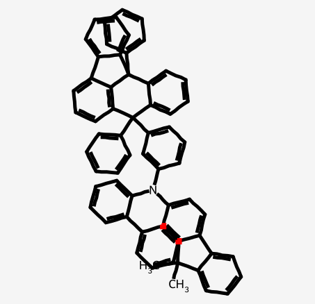 CC1(C)c2ccccc2-c2ccc(N(c3cccc(C4(c5ccccc5)c5ccccc5C5(c6ccccc6)c6ccccc6-c6cccc4c65)c3)c3ccccc3-c3ccccc3)cc21